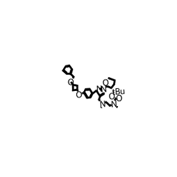 CN(CCN(C)C(=O)OC(C)(C)C)Cc1cn(C2CCCCO2)nc1-c1ccc(OC2CC(OCc3ccccc3)C2)cc1